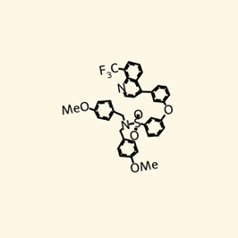 COc1ccc(CN(Cc2ccc(OC)cc2)S(=O)(=O)c2cccc(Oc3cccc(-c4ccnc5c(C(F)(F)F)cccc45)c3)c2)cc1